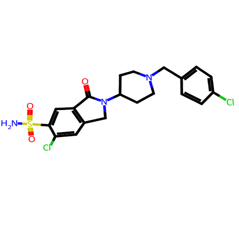 NS(=O)(=O)c1cc2c(cc1Cl)CN(C1CCN(Cc3ccc(Cl)cc3)CC1)C2=O